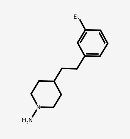 CCc1cccc(CCC2CCN(N)CC2)c1